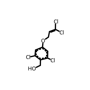 OCc1c(Cl)cc(OCC=C(Cl)Cl)cc1Cl